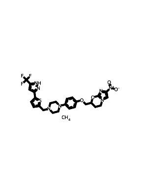 C.O=[N+]([O-])c1cn2c(n1)OC(COc1ccc(N3CCN(Cc4ccc(-c5cc(C(F)(F)F)[nH]n5)s4)CC3)cc1)CC2